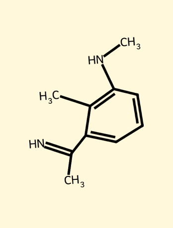 CNc1cccc(C(C)=N)c1C